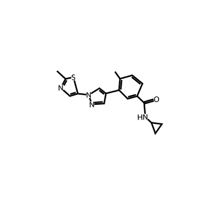 Cc1ncc(-n2cc(-c3cc(C(=O)NC4CC4)ccc3C)cn2)s1